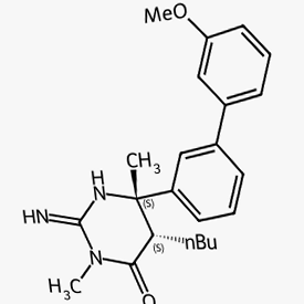 CCCC[C@@H]1C(=O)N(C)C(=N)N[C@]1(C)c1cccc(-c2cccc(OC)c2)c1